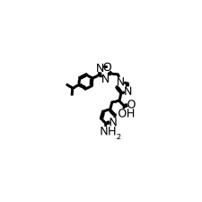 CC(C)c1ccc(-c2noc(Cn3cnc(C(Cc4ccc(N)nc4)C(=O)O)c3)n2)cc1